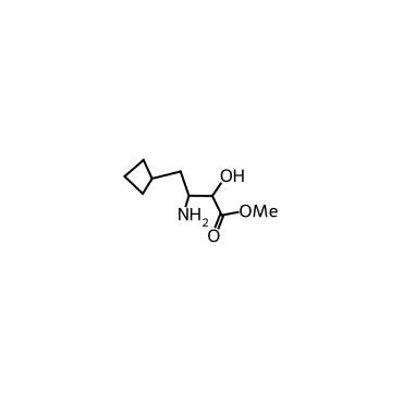 COC(=O)C(O)C(N)CC1CCC1